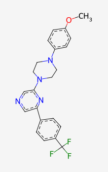 COc1ccc(N2CCN(c3cncc(-c4ccc(C(F)(F)F)cc4)n3)CC2)cc1